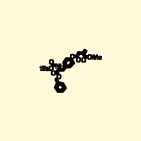 C=C(CC(=O)Oc1ccc(CC(NC(=O)OC(C)(C)C)C(=O)OCc2ccccc2)cc1)C(=O)OC